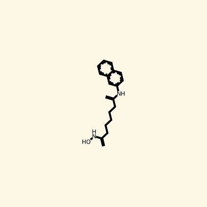 C=C(CCCCCC(=C)Nc1ccc2ccccc2c1)NO